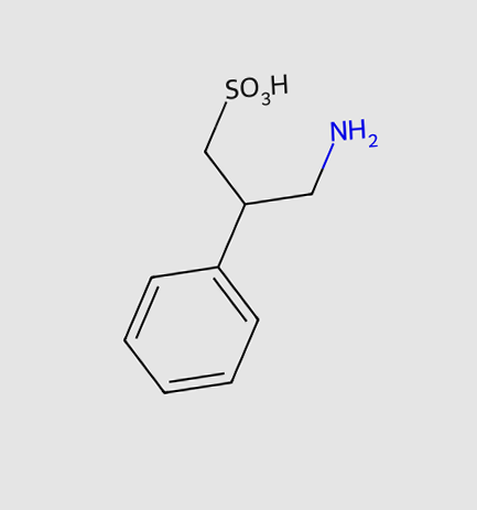 NCC(CS(=O)(=O)O)c1ccccc1